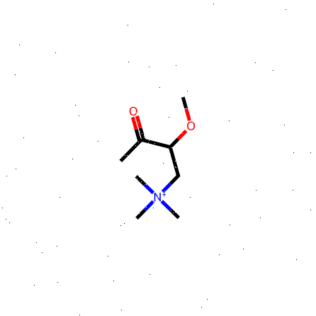 COC(C[N+](C)(C)C)C(C)=O